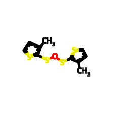 Cc1ccsc1SOSc1sccc1C